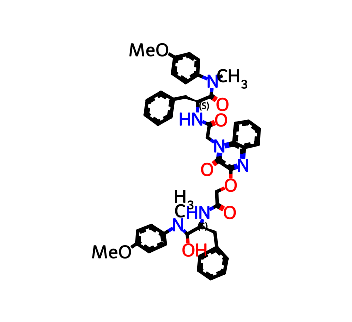 COc1ccc(N(C)C(=O)[C@H](Cc2ccccc2)NC(=O)Cn2c(=O)c(OCC(=O)N[C@@H](Cc3ccccc3)C(O)N(C)c3ccc(OC)cc3)nc3ccccc32)cc1